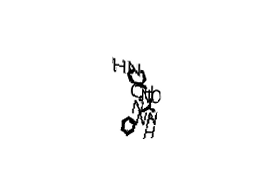 N=Cc1c(Nc2ccccc2)ncn(CC2(O)CCNCC2)c1=O